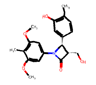 COc1cc(N2C(=O)[C@@H](CO)[C@H]2c2ccc(C)c(O)c2)cc(OC)c1C